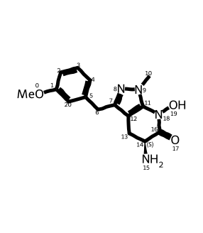 COc1cccc(Cc2nn(C)c3c2C[C@H](N)C(=O)N3O)c1